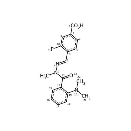 CN(N=Cc1ccc(C(=O)O)cc1F)C(=O)c1ccccc1N(C)C